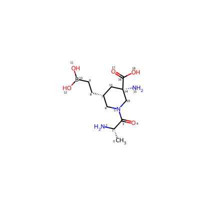 C[C@H](N)C(=O)N1C[C@H](CCB(O)O)C[C@@](N)(C(=O)O)C1